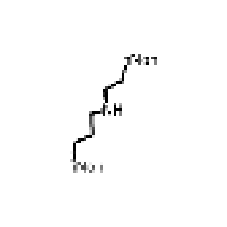 CCCCCCCCCCCCNCCCCCCCCCCC